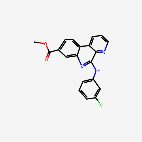 COC(=O)c1ccc2c(c1)nc(Nc1cccc(Cl)c1)c1ncccc12